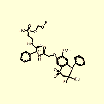 CCCCC1(CC)CN(c2ccccc2)c2cc(SC)c(OCC(=O)N[C@@H](C(=O)NCCP(=O)(O)OCOCC)c3ccccc3)cc2S(=O)(=O)C1